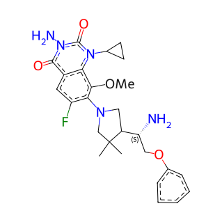 COc1c(N2CC([C@H](N)COc3ccccc3)C(C)(C)C2)c(F)cc2c(=O)n(N)c(=O)n(C3CC3)c12